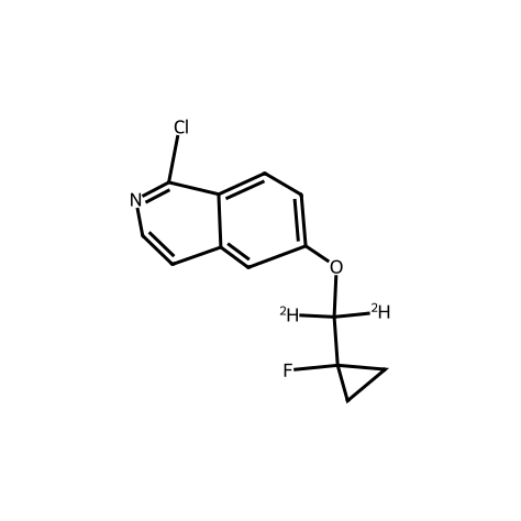 [2H]C([2H])(Oc1ccc2c(Cl)nccc2c1)C1(F)CC1